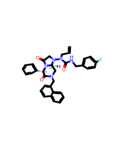 C=CCN(C(=O)NCc1ccc(F)cc1)N1CC(=O)N2[C@@H](c3ccccc3)C(=O)N(Cc3cccc4ccccc34)C[C@@H]21